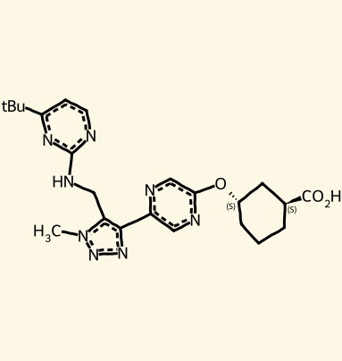 Cn1nnc(-c2cnc(O[C@H]3CCC[C@H](C(=O)O)C3)cn2)c1CNc1nccc(C(C)(C)C)n1